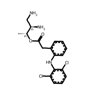 C[C@@H](OC(=O)Cc1ccccc1Nc1c(Cl)cccc1Cl)[C@H](N)CN